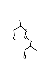 CC(CCl)SOSC(C)CCl